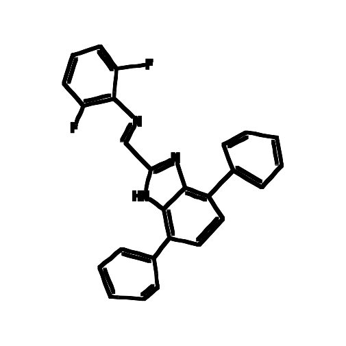 Fc1cccc(F)c1/N=C/c1nc2c(-c3ccccc3)ccc(-c3ccccc3)c2[nH]1